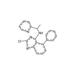 CC(Nc1nc(Cl)nc2cccc(-c3ccccc3)c12)c1ccccn1